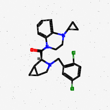 O=C([C@@H]1C2CC2CN1Cc1cc(Cl)ccc1Cl)N1CCN(C2CC2)c2ccccc21